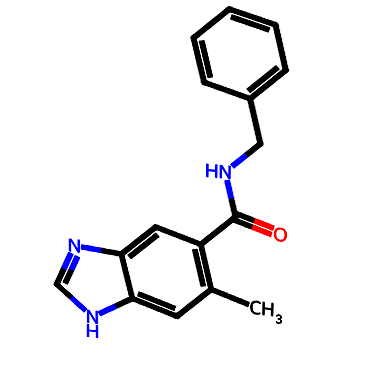 Cc1cc2[nH]cnc2cc1C(=O)NCc1ccccc1